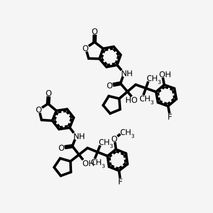 CC(C)(CC(O)(C(=O)Nc1ccc2c(c1)COC2=O)C1CCCC1)c1cc(F)ccc1O.COc1ccc(F)cc1C(C)(C)CC(O)(C(=O)Nc1ccc2c(c1)COC2=O)C1CCCC1